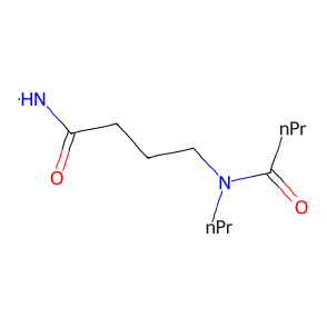 CCCC(=O)N(CCC)CCCC([NH])=O